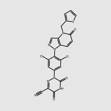 N#Cc1nn(-c2cc(Cl)c(-n3ncc4c3ccc(=O)n4Cc3cccs3)c(Cl)c2)c(=O)[nH]c1=O